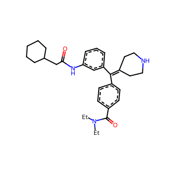 CCN(CC)C(=O)c1ccc(C(=C2CCNCC2)c2cccc(NC(=O)CC3CCCCC3)c2)cc1